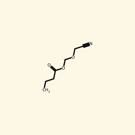 CCCC(=O)O[CH]OCC#N